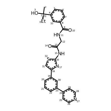 CC[C@](C)(O)c1cccc(C(=O)NCC(=O)Nc2nc(-c3cccc(-c4ccncc4)c3)cs2)c1